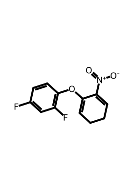 O=[N+]([O-])C1=CCCC=C1Oc1ccc(F)cc1F